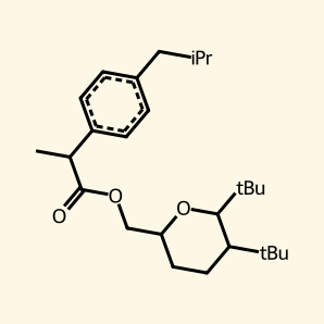 CC(C)Cc1ccc(C(C)C(=O)OCC2CCC(C(C)(C)C)C(C(C)(C)C)O2)cc1